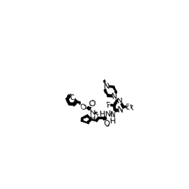 CCc1nc(NNC(=O)[C@@H](CNC(=O)OCc2ccccc2)CC2CCCC2)c(F)c(N2CCN(C)CC2)n1